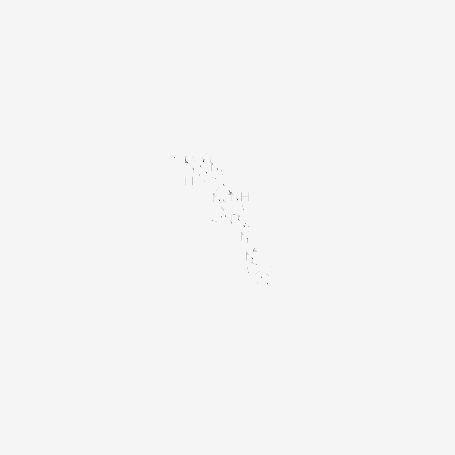 C=CC(=O)Nc1cc(Nc2nc(-c3ccnc(N4CCn5c(cc6c5CC(C)(C)C6)C4=O)c3CO)cn(C)c2=O)ccc1N1CCN(C2CCN(c3cc4c(cc3C)C(=O)N(C3CCC(C)(C)CC3)C4=O)[C@@H](C)C2)C[C@@H]1C